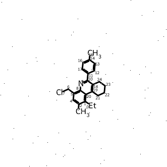 CCc1c(C)cc(CCl)c2nc(-c3ccc(C)cc3)c3c(c12)CCCC3